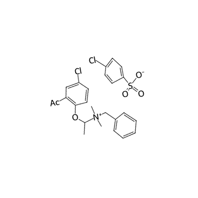 CC(=O)c1cc(Cl)ccc1OC(C)[N+](C)(C)Cc1ccccc1.O=S(=O)([O-])c1ccc(Cl)cc1